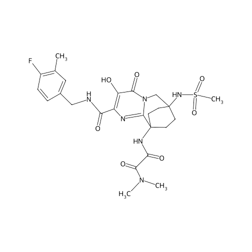 Cc1cc(CNC(=O)c2nc3n(c(=O)c2O)CC2(NS(C)(=O)=O)CCC3(NC(=O)C(=O)N(C)C)CC2)ccc1F